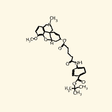 COc1ccc2c3c1O[C@H]1C[C@@H](OC(=O)CCCC(=O)Nc4ccc(C(=O)OC(C)(C)C)cc4)C=C[C@@]31CCN(C)C2